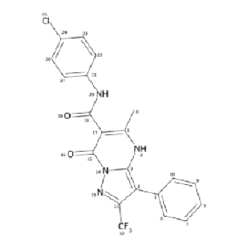 Cc1[nH]c2c(-c3ccccc3)c(C(F)(F)F)nn2c(=O)c1C(=O)Nc1ccc(Cl)cc1